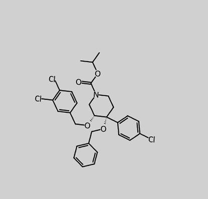 CC(C)OC(=O)N1CC[C@@](OCc2ccccc2)(c2ccc(Cl)cc2)[C@H](OCc2ccc(Cl)c(Cl)c2)C1